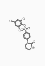 O=C1NCCCN1c1ccc(S(=O)(=O)Oc2c(Cl)cc(Cl)cc2Cl)cc1